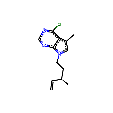 C=C[C@H](C)CCn1cc(C)c2c(Cl)ncnc21